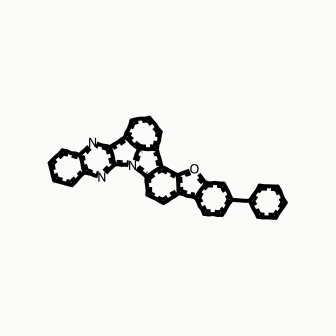 c1ccc(-c2ccc3c(c2)oc2c3ccc3c2c2cccc4c5nc6ccccc6nc5n3c42)cc1